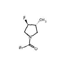 CC(C)C(=O)N1C[C@@H](C)[C@H](F)C1